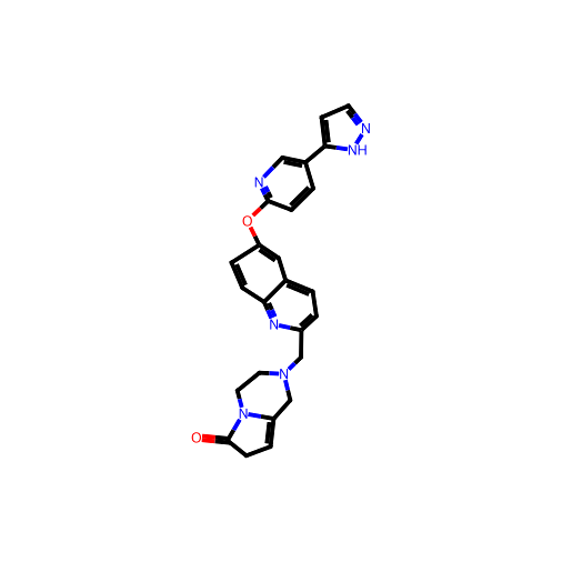 O=C1CC=C2CN(Cc3ccc4cc(Oc5ccc(-c6ccn[nH]6)cn5)ccc4n3)CCN12